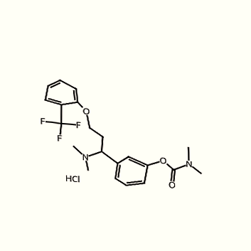 CN(C)C(=O)Oc1cccc(C(CCOc2ccccc2C(F)(F)F)N(C)C)c1.Cl